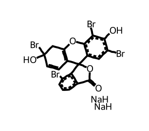 O=C1OC2(C3=C(CC(O)(Br)C=C3)Oc3c2cc(Br)c(O)c3Br)c2c(Br)cccc21.[NaH].[NaH]